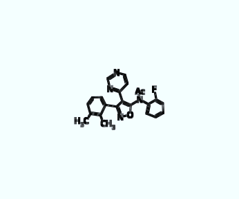 CC(=O)N(c1ccccc1F)c1onc(-c2cccc(C)c2C)c1-c1ccncn1